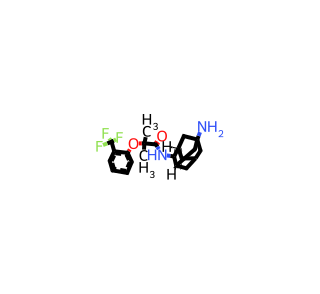 CC(C)(Oc1ccccc1C(F)(F)F)C(=O)NC1[C@@H]2CC3C[C@H]1CC(N)(C3)C2